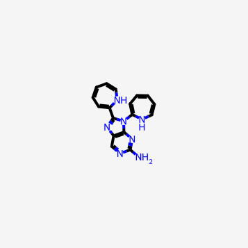 Nc1ncc2nc(C3=CC=CC=CN3)n(C3=CC=CC=CN3)c2n1